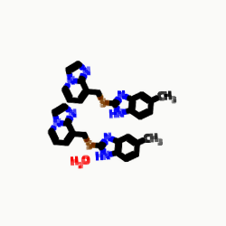 Cc1ccc2[nH]c(SCc3cccn4ccnc34)nc2c1.Cc1ccc2[nH]c(SCc3cccn4ccnc34)nc2c1.O